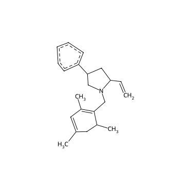 C=CC1CC(c2ccccc2)CN1CC1=C(C)C=C(C)CC1C